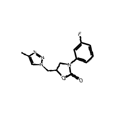 Cc1cn(CC2CN(c3cccc(F)c3)C(=O)O2)nn1